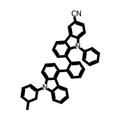 CC1C=CC=C(n2c3ccccc3c3c(-c4ccccc4-c4cccc5c6cc(C#N)ccc6n(-c6ccccc6)c45)cccc32)C1